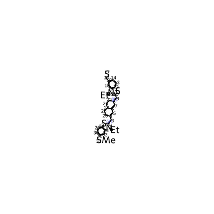 CCN1/C(=C/C2=CC3=C/C(=C/c4sc5ccc(C=S)cc5[n+]4CC)CCC3CC2)Sc2ccc(SC)cc21